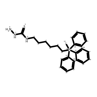 NNC(=S)NCCCCCCP(I)(c1ccccc1)(c1ccccc1)c1ccccc1